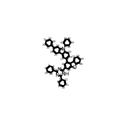 c1ccc(C2=NC(c3ccccc3)NC(c3cc(-c4ccc5c(c4)c4ccc(-c6ccccc6)cc4n5-c4ccccc4)c4c(c3)oc3ccccc34)=N2)cc1